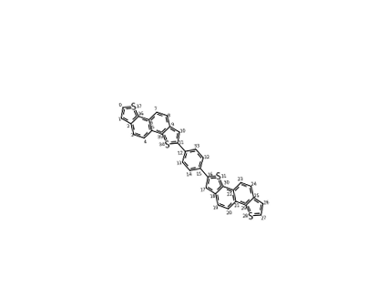 c1cc2ccc3c(ccc4cc(-c5ccc(-c6cc7ccc8c(ccc9ccsc98)c7s6)cc5)sc43)c2s1